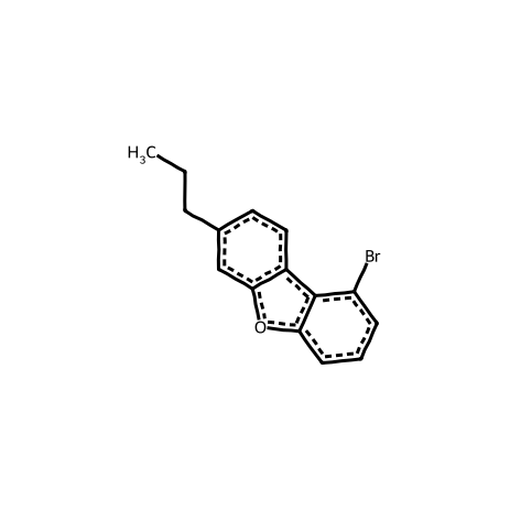 CCCc1ccc2c(c1)oc1cccc(Br)c12